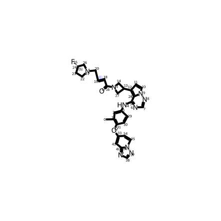 Cc1cc(Nc2ncnn3ccc(C4CN(C(=O)/C=C/CN5CC[C@H](F)C5)C4)c23)ccc1Oc1ccn2ncnc2c1